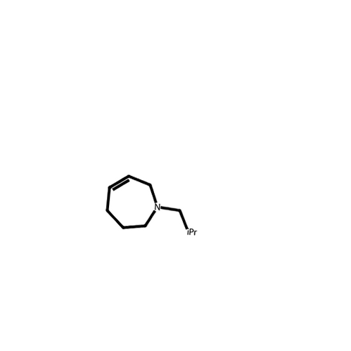 CC(C)CN1CC=CCCC1